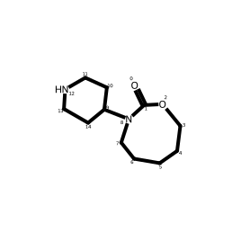 O=C1OCCCCCN1C1CCNCC1